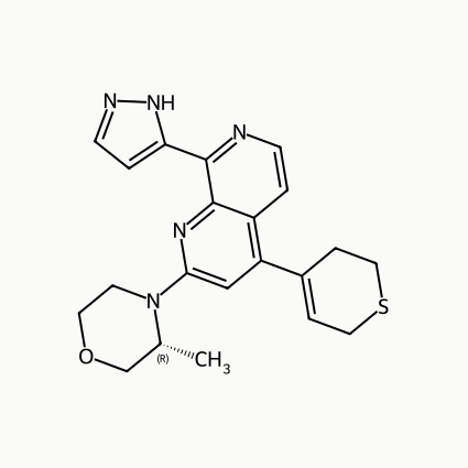 C[C@@H]1COCCN1c1cc(C2=CCSCC2)c2ccnc(-c3ccn[nH]3)c2n1